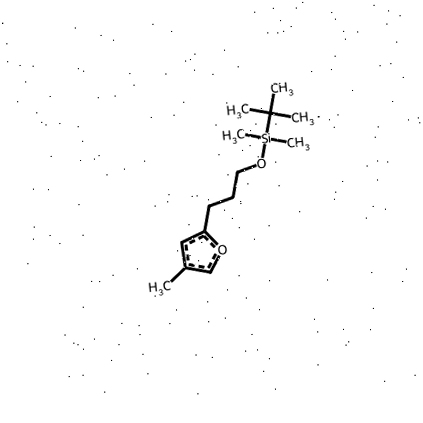 Cc1coc(CCCO[Si](C)(C)C(C)(C)C)c1